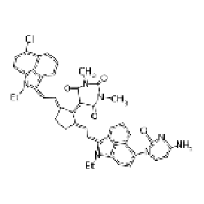 CCn1/c(=C/C=C2\CC/C(=C\C=c3/c4cccc5c(-n6ccc(N)nc6=O)ccc(c54)n3CC)C2=C2C(=O)N(C)C(=O)N(C)C2=O)c2cccc3c(Cl)ccc1c32